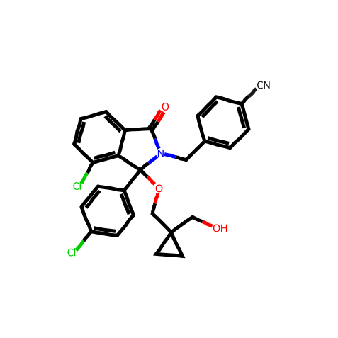 N#Cc1ccc(CN2C(=O)c3cccc(Cl)c3C2(OCC2(CO)CC2)c2ccc(Cl)cc2)cc1